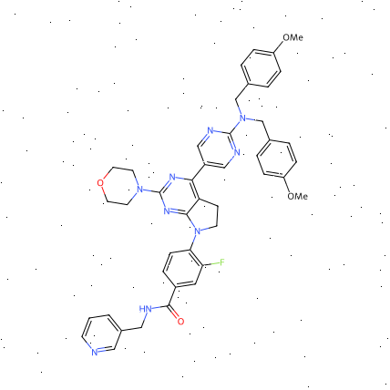 COc1ccc(CN(Cc2ccc(OC)cc2)c2ncc(-c3nc(N4CCOCC4)nc4c3CCN4c3ccc(C(=O)NCc4cccnc4)cc3F)cn2)cc1